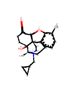 N#Cc1ccc2c3c1OC1C(=O)CCC4(O)[C@@H](C2)N(CC2CC2)CC[C@]314